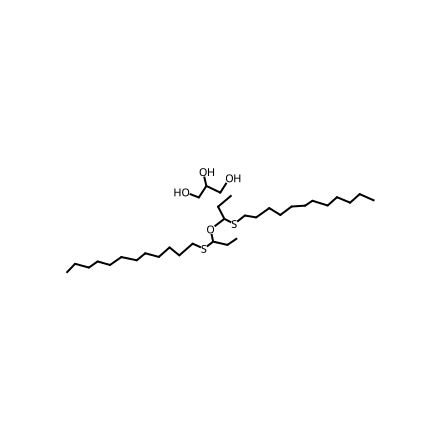 CCCCCCCCCCCCSC(CC)OC(CC)SCCCCCCCCCCCC.OCC(O)CO